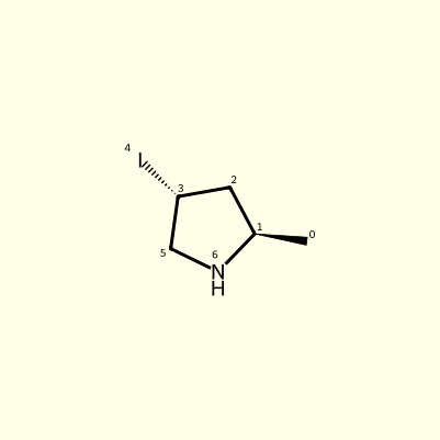 C[C@@H]1C[C@@H](I)CN1